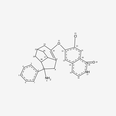 NC1(c2ccccc2)CC2=C(Oc3cc4cc[nH]c(=O)c4cc3Cl)CC3CC2C1C3